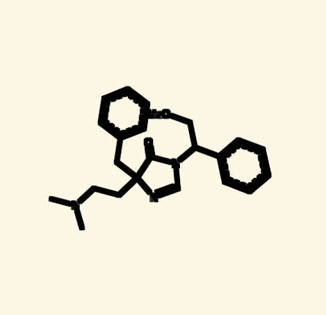 COCC(c1ccccc1)N1C=NC(CCN(C)C)(Cc2ccccc2)C1=O